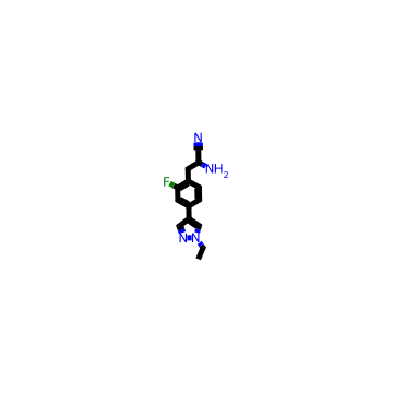 CCn1cc(-c2ccc(CC(N)C#N)c(F)c2)cn1